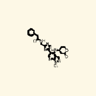 CCn1ncc2c(NC3CCOC(=O)C3)c(-c3nc(CNC(=O)Cc4ccccc4)no3)cnc21